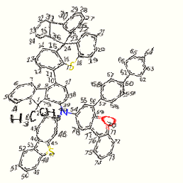 CC1(C)c2ccccc2-c2c(-c3cccc4c3Sc3ccccc3C43c4ccccc4C4C=CC=CC43)ccc(N(c3ccc4c(c3)sc3ccccc34)c3cc(-c4ccc(-c5ccccc5)cc4)c4oc5ccccc5c4c3)c21